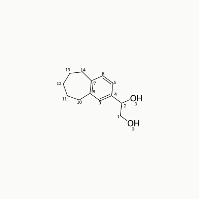 OCC(O)c1ccc2c(c1)CCCCC2